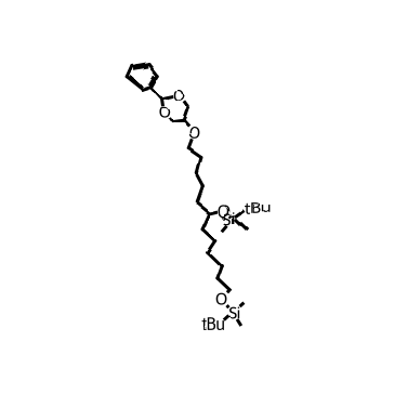 CC(C)(C)[Si](C)(C)OCCCCCCC(CCCCCOC1COC(c2ccccc2)OC1)O[Si](C)(C)C(C)(C)C